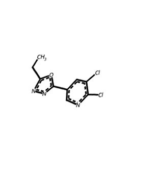 CCc1nnc(-c2cnc(Cl)c(Cl)c2)o1